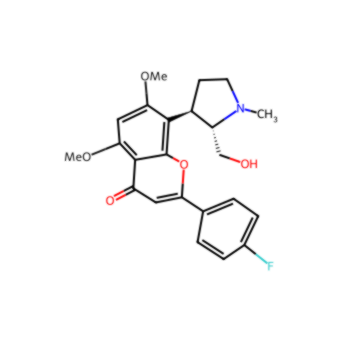 COc1cc(OC)c2c(=O)cc(-c3ccc(F)cc3)oc2c1[C@H]1CCN(C)[C@@H]1CO